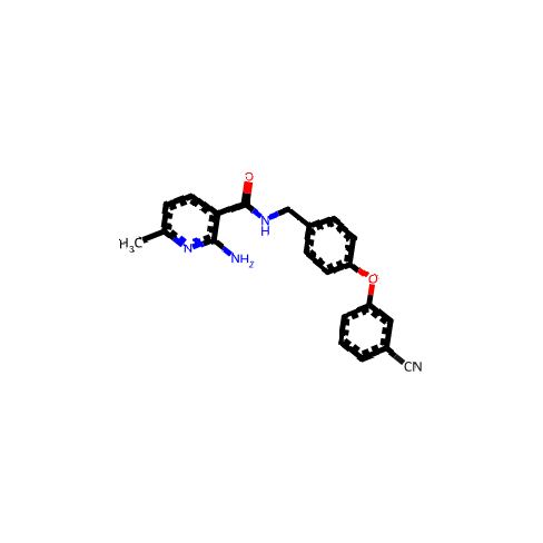 Cc1ccc(C(=O)NCc2ccc(Oc3cccc(C#N)c3)cc2)c(N)n1